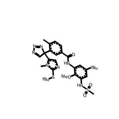 COc1c(NC(=O)c2ccc(C)c(C3(c4cnc(SC(C)(C)C)n4C)C=NN=N3)c2)cc(C(C)(C)C)cc1NS(C)(=O)=O